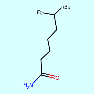 CCCCC(CC)CCCCC(N)=O